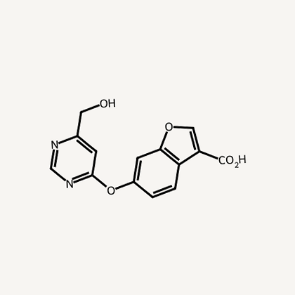 O=C(O)c1coc2cc(Oc3cc(CO)ncn3)ccc12